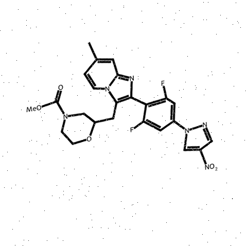 COC(=O)N1CCOC(Cc2c(-c3c(F)cc(-n4cc([N+](=O)[O-])cn4)cc3F)nc3cc(C)ccn23)C1